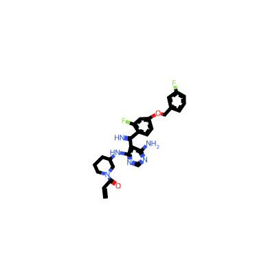 C=CC(=O)N1CCCC(Nc2ncnc(N)c2C(=N)c2ccc(OCc3cccc(F)c3)cc2F)C1